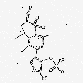 CCCS(=O)(=O)Oc1c(-c2cc(C)c3c(c2C)C(C)CC(=C=O)S3(=O)=O)cnn1CC